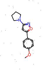 COc1ccc(-c2cc(N3CCCC3)no2)cc1